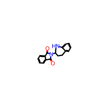 O=C1c2ccccc2C(=O)N1C1CCc2ccccc2NC1